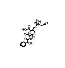 N#CCn1nnnc1SCC1=C(C(=O)O)N2C(=O)[C@@H](NC(=O)C(O)c3ccccc3)[C@@H]2SC1